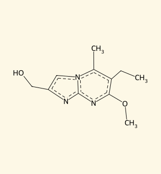 CCc1c(OC)nc2nc(CO)cn2c1C